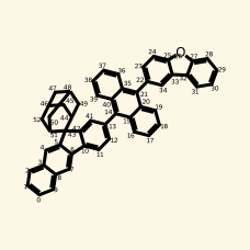 c1ccc2cc3c(cc2c1)-c1ccc(-c2c4ccccc4c(-c4ccc5oc6ccccc6c5c4)c4ccccc24)cc1C31C2CC3CC(C2)CC1C3